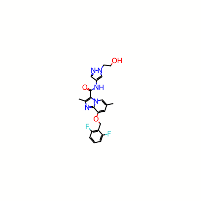 Cc1cc(OCc2c(F)cccc2F)c2nc(C)c(C(=O)Nc3cnn(CCO)c3)n2c1